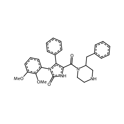 COc1cccc(-n2c(-c3ccccc3)c(C(=O)N3CCNCC3Cc3ccccc3)[nH]c2=O)c1OC